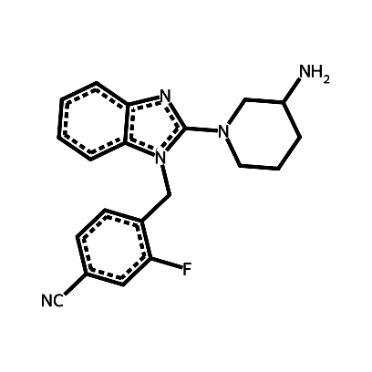 N#Cc1ccc(Cn2c(N3CCCC(N)C3)nc3ccccc32)c(F)c1